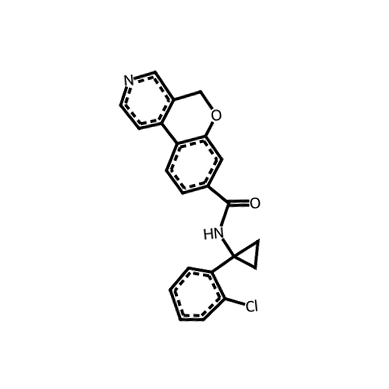 O=C(NC1(c2ccccc2Cl)CC1)c1ccc2c(c1)OCc1cnccc1-2